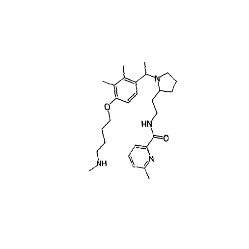 CNCCCCOc1ccc(C(C)N2CCCC2CCNC(=O)c2cccc(C)n2)c(C)c1C